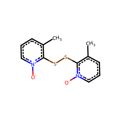 Cc1ccc[n+]([O-])c1SSc1c(C)ccc[n+]1[O-]